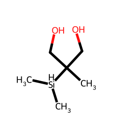 C[SiH](C)C(C)(CO)CO